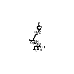 CCCC(NC(=O)NC(CCCCNC(=O)c1ccc(F)nc1)C(=O)O)C(C(=O)O)C(=O)O